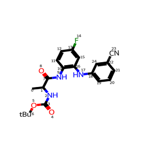 CC(NC(=O)OC(C)(C)C)C(=O)Nc1ccc(F)cc1Nc1cccc(C#N)c1